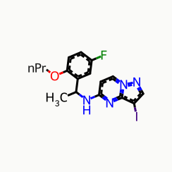 CCCOc1ccc(F)cc1C(C)Nc1ccn2ncc(I)c2n1